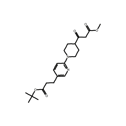 COC(=O)CC(=O)C1CCN(c2ccc(CCC(=O)OC(C)(C)C)cn2)CC1